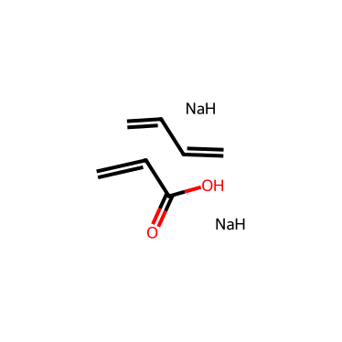 C=CC(=O)O.C=CC=C.[NaH].[NaH]